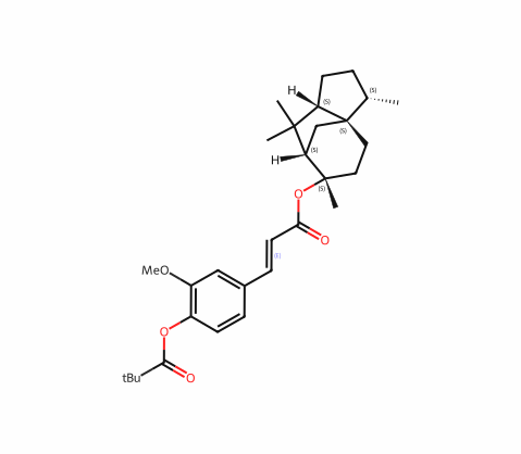 COc1cc(/C=C/C(=O)O[C@@]2(C)CC[C@@]34C[C@H]2C(C)(C)[C@@H]3CC[C@@H]4C)ccc1OC(=O)C(C)(C)C